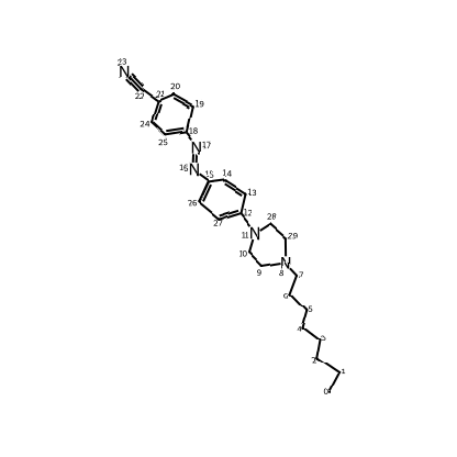 CCCCCCCCN1CCN(c2ccc(N=Nc3ccc(C#N)cc3)cc2)CC1